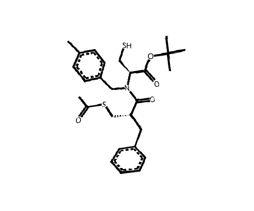 CC(=O)SC[C@@H](Cc1ccccc1)C(=O)N(Cc1ccc(C)cc1)[C@@H](CS)C(=O)OC(C)(C)C